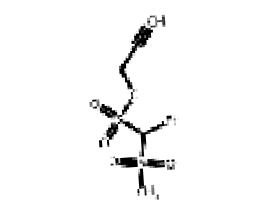 C#CCOS(=O)(=O)C(CC)S(C)(=O)=O